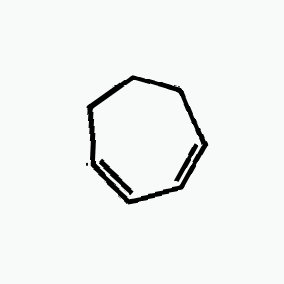 [C]1=CC=CCCC1